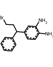 Nc1ccc(C(CCBr)c2ccccc2)cc1N